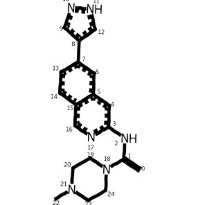 C=C(Nc1cc2cc(-c3cn[nH]c3)ccc2cn1)N1CCN(C)CC1